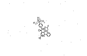 CC(C)(N)c1ccc(NC(=O)c2cn(C3CC3)nc(-c3ccccc3OCC(F)F)c2=O)cc1